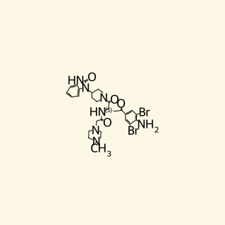 CN1CCN(CC(=O)N[C@@H](CC(=O)c2cc(Br)c(N)c(Br)c2)C(=O)N2CCC(n3c(=O)[nH]c4ccccc43)CC2)CC1